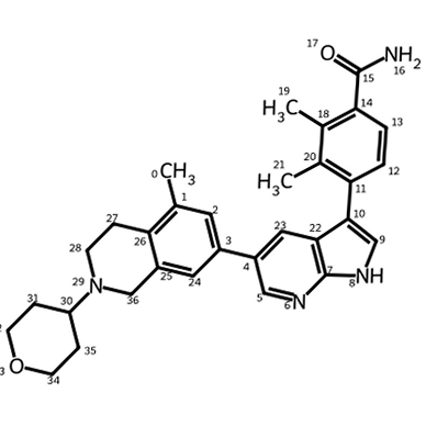 Cc1cc(-c2cnc3[nH]cc(-c4ccc(C(N)=O)c(C)c4C)c3c2)cc2c1CCN(C1CCOCC1)C2